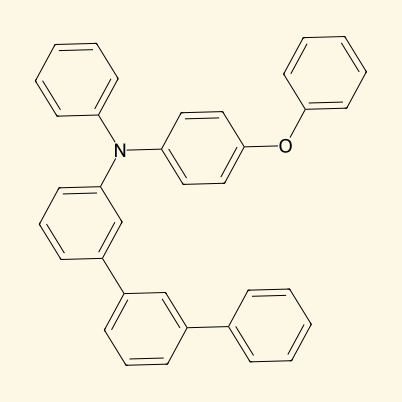 c1ccc(Oc2ccc(N(c3ccccc3)c3cccc(-c4cccc(-c5ccccc5)c4)c3)cc2)cc1